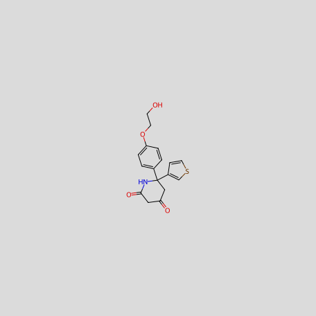 O=C1CC(=O)NC(c2ccc(OCCO)cc2)(c2ccsc2)C1